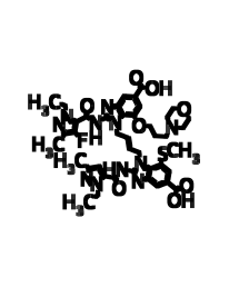 CCn1nc(C)cc1C(=O)Nc1nc2cc(C(=O)O)cc(SC)c2n1CC=CCn1c(NC(=O)c2c(F)c(C)nn2CC)nc2cc(C(=O)O)cc(OCCCN3CCOCC3)c21